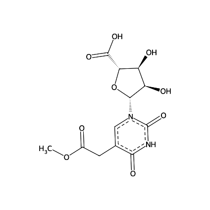 COC(=O)Cc1cn([C@@H]2O[C@H](C(=O)O)[C@@H](O)[C@H]2O)c(=O)[nH]c1=O